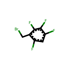 Fc1cc(F)c(CBr)c(F)c1F